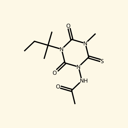 CCC(C)(C)n1c(=O)n(C)c(=S)n(NC(C)=O)c1=O